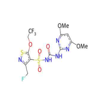 COc1cc(OC)nc(NC(=O)NS(=O)(=O)c2c(CF)nsc2OCC(F)(F)F)n1